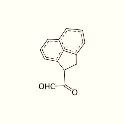 O=CC(=O)C1Cc2cccc3cccc1c23